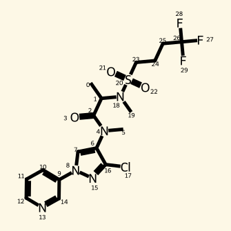 CC(C(=O)N(C)c1cn(-c2cccnc2)nc1Cl)N(C)S(=O)(=O)CCCC(F)(F)F